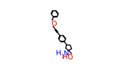 NC1(CO)CCC(c2ccc(C#CCOCc3ccccc3)cc2)C1